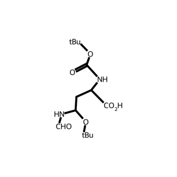 CC(C)(C)OC(=O)NC(CC(NC=O)OC(C)(C)C)C(=O)O